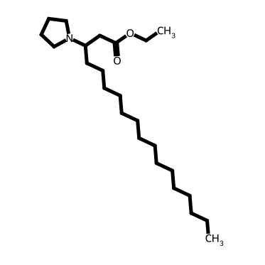 CCCCCCCCCCCCCCCC(CC(=O)OCC)N1CCCC1